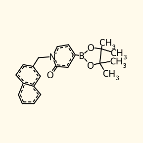 CC1(C)OB(c2ccn(Cc3ccc4ccccc4c3)c(=O)c2)OC1(C)C